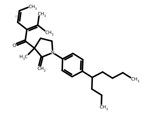 C=C1N(c2ccc(C(CCC)CCCC)cc2)CCC1(C)C(=O)C(/C=C\C)=C(C)C